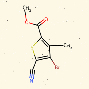 COC(=O)c1sc(C#N)c(Br)c1C